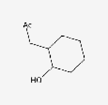 CC(=O)CC1CCCCC1O